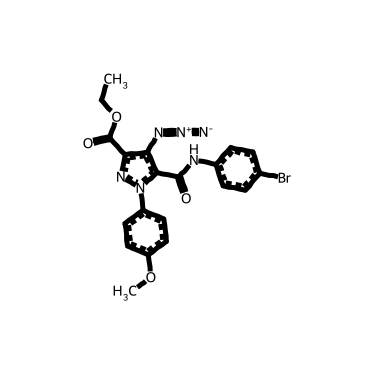 CCOC(=O)c1nn(-c2ccc(OC)cc2)c(C(=O)Nc2ccc(Br)cc2)c1N=[N+]=[N-]